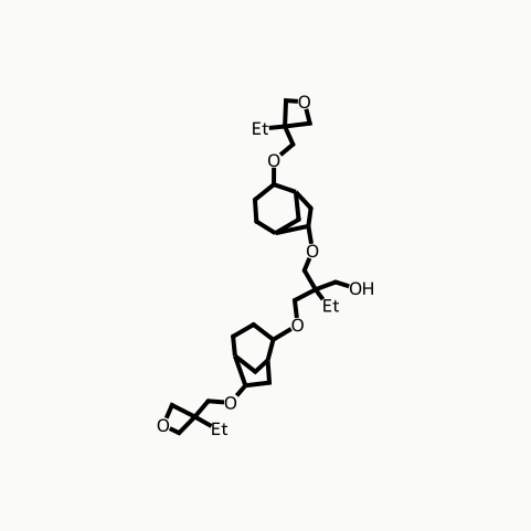 CCC1(COC2CCC3CC2CC3OCC(CC)(CO)COC2CCC3CC2CC3OCC2(CC)COC2)COC1